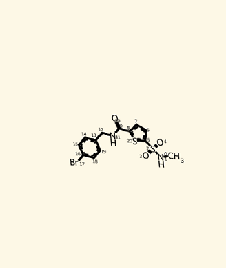 CNS(=O)(=O)c1ccc(C(=O)NCc2ccc(Br)cc2)s1